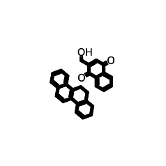 C1=CC2=C(CC1)CCc1c2ccc2ccccc12.O=C1C=C(CO)C(=O)c2ccccc21